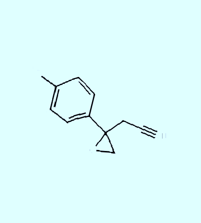 C#CCC1(c2ccc(F)cc2)CO1